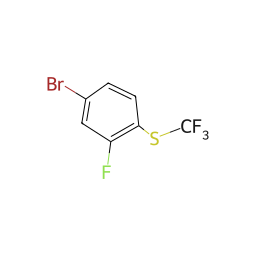 Fc1cc(Br)ccc1SC(F)(F)F